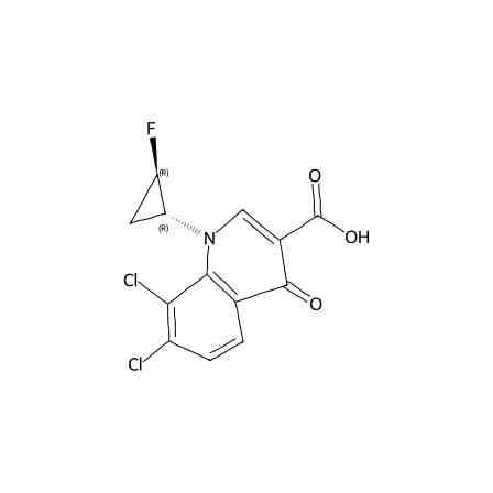 O=C(O)c1cn([C@@H]2C[C@H]2F)c2c(Cl)c(Cl)ccc2c1=O